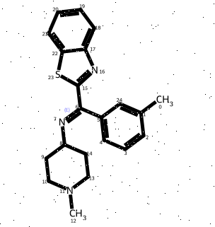 Cc1cccc(/C(=N\C2CCN(C)CC2)c2nc3ccccc3s2)c1